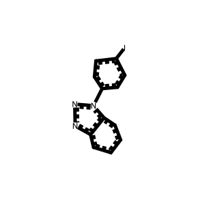 Ic1ccc(-n2nnc3ccccc32)cc1